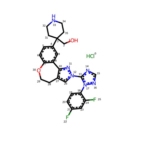 Cl.OCC1(c2ccc3c(c2)-c2nn(-c4ncnn4-c4ccc(F)cc4F)cc2CCO3)CCNCC1